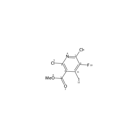 COC(=O)c1c(Cl)nc(Cl)c(F)c1I